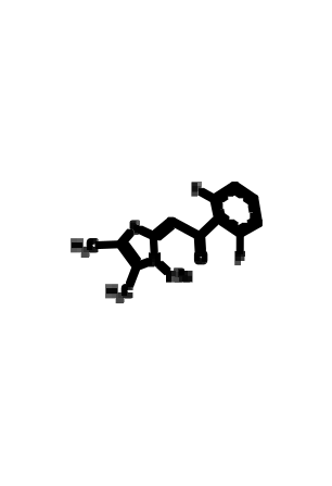 CCCCN1C(=CC(=O)c2c(F)cccc2F)SC(C)=C1C